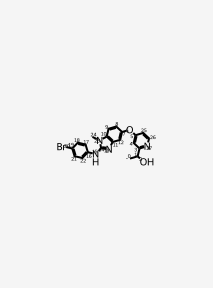 [CH2]C(O)c1cc(Oc2ccc3c(c2)nc(Nc2ccc(Br)cc2)n3C)ccn1